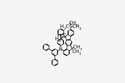 CC1(C)c2cc(S(C)(C)C)ccc2-c2cc3c(cc21)-c1c(N(c2ccc(-c4ccccc4)cc2)c2cc(-c4ccccc4)cc(-c4ccccc4)c2)cccc1C3(C)C